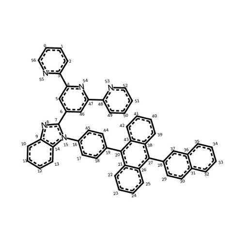 c1ccc(-c2cc(-c3nc4ccccc4n3-c3ccc(-c4c5ccccc5c(-c5ccc6ccccc6c5)c5ccccc45)cc3)cc(-c3ccccn3)n2)nc1